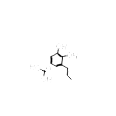 CCCc1cccc(O)c1O.O=C(O)O